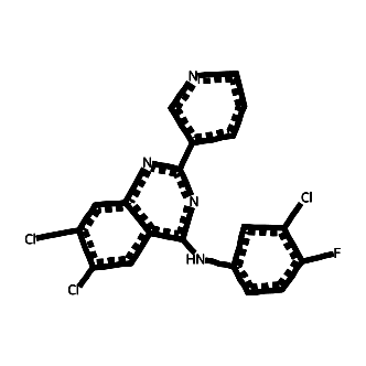 Fc1ccc(Nc2nc(-c3cccnc3)nc3cc(Cl)c(Cl)cc23)cc1Cl